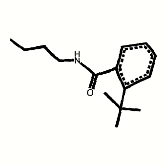 CCCCNC(=O)c1ccccc1C(C)(C)C